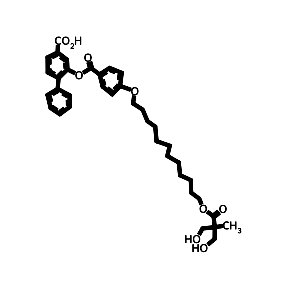 CC(CO)(CO)C(=O)OCCCCCCCCCCCCOc1ccc(C(=O)Oc2cc(C(=O)O)ccc2-c2ccccc2)cc1